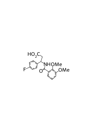 COc1cccc(C(=O)NC(CC(=O)O)c2ccc(F)cc2)c1OC